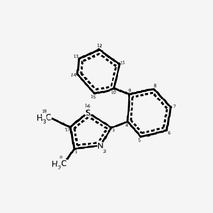 Cc1nc(-c2ccccc2-c2ccccc2)sc1C